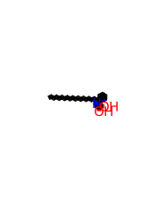 CCCCCCCCCCCCCCCCCCC(c1ccccc1)[N+](C)(CCO)CCO